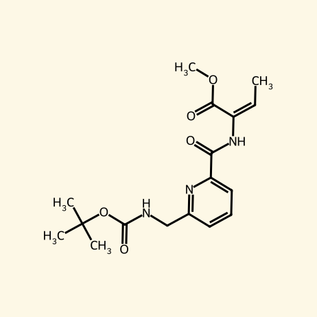 C/C=C(/NC(=O)c1cccc(CNC(=O)OC(C)(C)C)n1)C(=O)OC